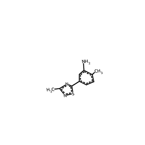 Cc1nsc(-c2ccc(C)c(N)c2)n1